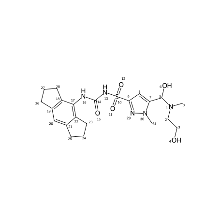 CN(CCO)C(O)c1cc(S(=O)(=O)NC(=O)Nc2c3c(cc4c2CCC4)CCC3)nn1C